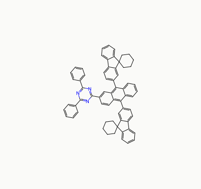 c1ccc(-c2nc(-c3ccccc3)nc(-c3ccc4c(-c5ccc6c(c5)C5(CCCCC5)c5ccccc5-6)c5ccccc5c(-c5ccc6c(c5)C5(CCCCC5)c5ccccc5-6)c4c3)n2)cc1